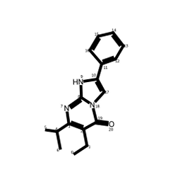 CCc1c(C(C)C)nc2[nH]c(-c3ccccc3)cn2c1=O